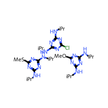 CC(C)Nc1nc(Cl)nc(NC(C)C)n1.COc1nc(NC(C)C)nc(NC(C)C)n1.CSc1nc(NC(C)C)nc(NC(C)C)n1